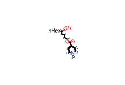 CCCCCCC(O)CCCCOC(=O)C1CCN(C)CC1